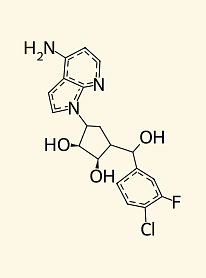 Nc1ccnc2c1ccn2C1CC(C(O)c2ccc(Cl)c(F)c2)[C@@H](O)[C@H]1O